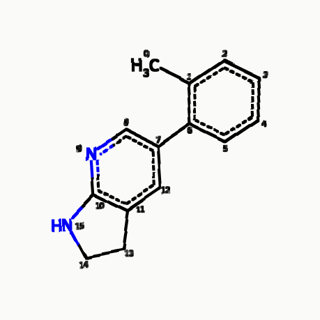 Cc1ccccc1-c1cnc2c(c1)CCN2